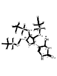 CC(C)(C)[Si](C)(C)OC[C@H]1O[C@@H](C2=CNC(=O)NC2O)C(O[Si](C)(C)C(C)(C)C)C1O[Si](C)(C)C(C)(C)C